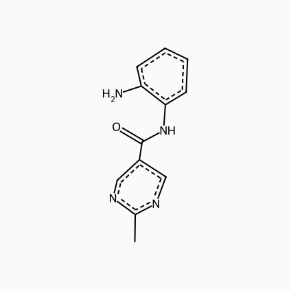 Cc1ncc(C(=O)Nc2ccccc2N)cn1